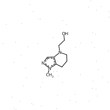 Cn1ncc2c1CCCN2CCO